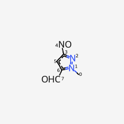 Cn1nc(N=O)cc1C=O